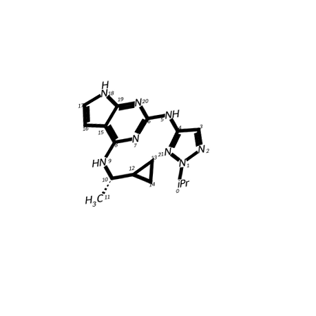 CC(C)n1ncc(Nc2nc(N[C@@H](C)C3CC3)c3cc[nH]c3n2)n1